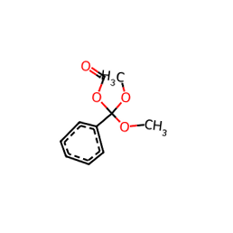 COC(OC)(O[C]=O)c1ccccc1